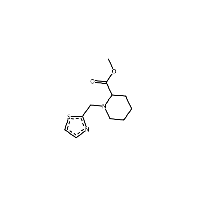 COC(=O)C1CCCCN1Cc1nccs1